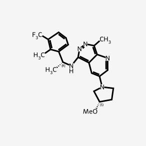 CO[C@H]1CCN(c2cnc3c(C)nnc(N[C@H](C)c4cccc(C(F)(F)F)c4C)c3c2)C1